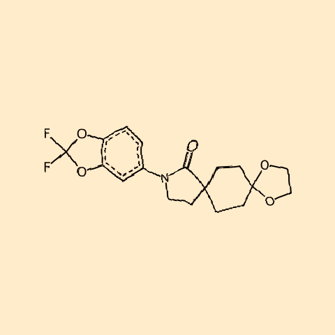 O=C1N(c2ccc3c(c2)OC(F)(F)O3)CCC12CCC1(CC2)OCCO1